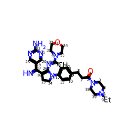 CCN1CCN(C(=O)CCc2ccc(N3CCC(C(=N)c4cnc(N)nc4)=C3/N=C(\C)N3CCOCC3)cc2)CC1